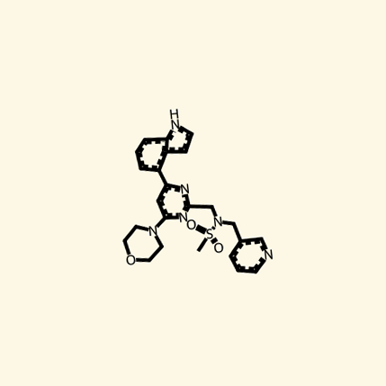 CS(=O)(=O)N(Cc1cccnc1)Cc1nc(-c2cccc3[nH]ccc23)cc(N2CCOCC2)n1